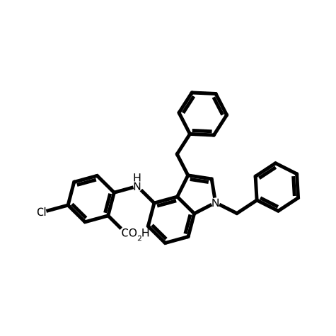 O=C(O)c1cc(Cl)ccc1Nc1cccc2c1c(Cc1ccccc1)cn2Cc1ccccc1